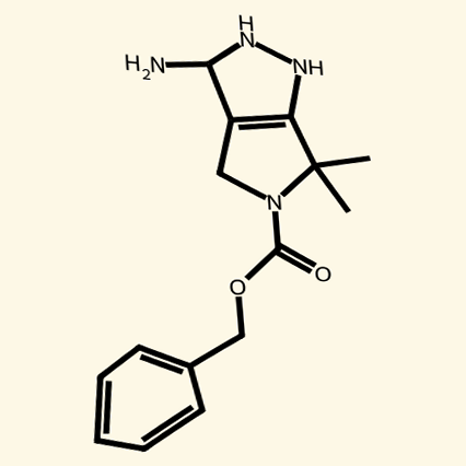 CC1(C)C2=C(CN1C(=O)OCc1ccccc1)C(N)NN2